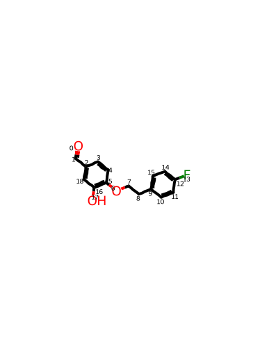 O=Cc1ccc(OCCc2ccc(F)cc2)c(O)c1